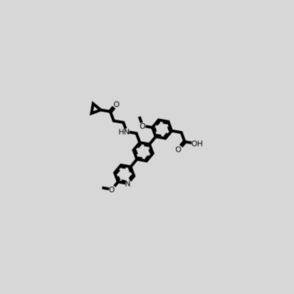 COc1ccc(-c2ccc(-c3cc(CC(=O)O)ccc3OC)c(CNCCC(=O)C3CC3)c2)cn1